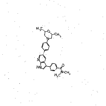 CC1CN(c2ccc(-c3cnc4[nH]cc(-c5ccc(C(=O)N(C)C)cc5)c4c3)cc2)CC(C)O1